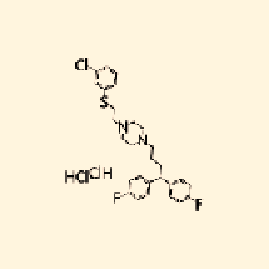 Cl.Cl.Fc1ccc(C(CCCN2CCN(CCSc3cccc(Cl)c3)CC2)c2ccc(F)cc2)cc1